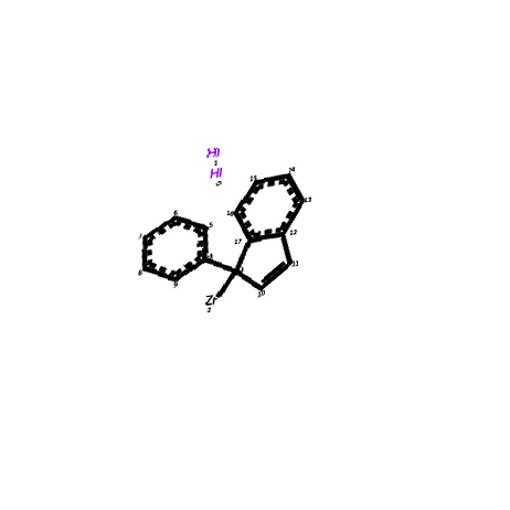 I.I.[Zr][C]1(c2ccccc2)C=Cc2ccccc21